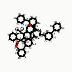 O=S1(=O)c2ccccc2C2(c3ccccc3-c3ccccc3-c3ccc(-c4nc(-c5cccc(-c6ccccc6)c5)nc(-c5cccc(-c6ccccc6)c5)n4)cc32)c2ccc3ccccc3c21